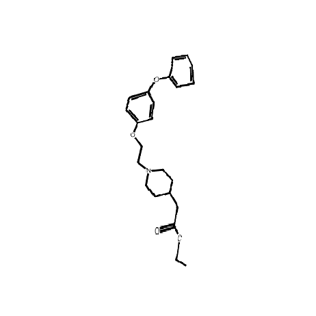 CCOC(=O)CC1CCN(CCOc2ccc(Oc3ccccc3)cc2)CC1